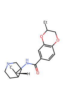 CCC1COc2ccc(C(=O)N[C@H]3CN4CCC3CC4)cc2O1